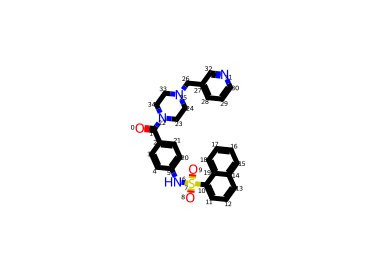 O=C(c1ccc(NS(=O)(=O)c2cccc3ccccc23)cc1)N1CCN(Cc2cccnc2)CC1